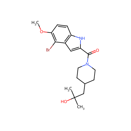 COc1ccc2[nH]c(C(=O)N3CCC(CC(C)(C)O)CC3)cc2c1Br